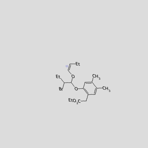 CC/C=C\OC(Oc1cc(C)c(C)cc1CC(=O)OCC)C(Br)CC